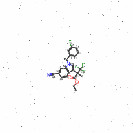 CCOC(=O)C(C)(c1cn(Cc2cccc(F)c2)c2cc(C#N)ccc12)C(F)(F)F